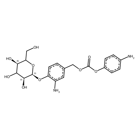 Nc1ccc(OC(=O)OCc2ccc(O[C@@H]3OC(CO)[C@H](O)C(O)[C@@H]3O)c(N)c2)cc1